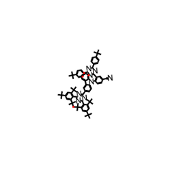 CC(C)(C)c1ccc(-c2nc(-c3ccc(C(C)(C)C)cc3)nc(-c3cc(C#N)ccc3-n3c4ccccc4c4cc(-c5nc(-c6c(C(C)(C)C)cc(C(C)(C)C)cc6C(C)(C)C)nc(-c6c(C(C)(C)C)cc(C(C)(C)C)cc6C(C)(C)C)n5)ccc43)n2)cc1